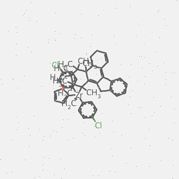 [CH2]=[Zr]([C]1=CC=CC1)([c]1ccc(Cl)cc1)([c]1ccc(Cl)cc1)[C]1(C)C2=C3Cc4ccccc4C3=C3C=CCCC3C2(C)C(C)(C)C(C)(C)C1(C)C